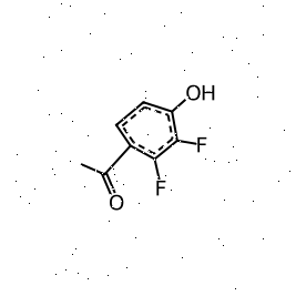 CC(=O)c1ccc(O)c(F)c1F